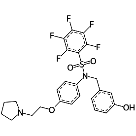 O=S(=O)(c1c(F)c(F)c(F)c(F)c1F)N(Cc1cccc(O)c1)c1ccc(OCCN2CCCC2)cc1